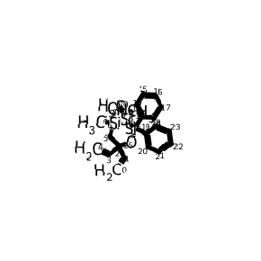 C=CC1(C=C)C[Si](C)(C)[Si](C)(C)[Si](c2ccccc2)(c2ccccc2)O1